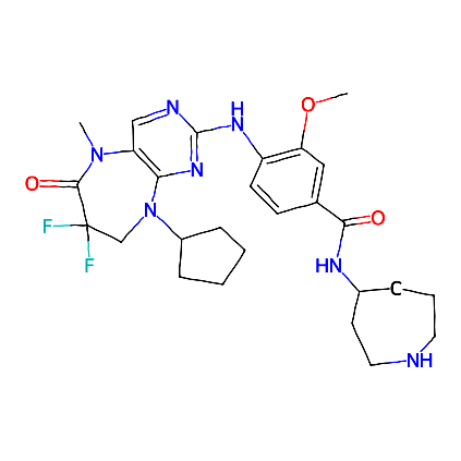 COc1cc(C(=O)NC2CCCNCC2)ccc1Nc1ncc2c(n1)N(C1CCCC1)CC(F)(F)C(=O)N2C